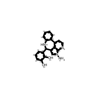 Nn1cc2c3c(ccnc31)-c1ccccc1NC2c1cccc(O)c1O